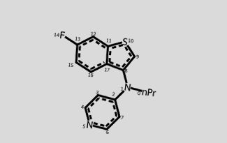 CCCN(c1ccncc1)c1csc2cc(F)ccc12